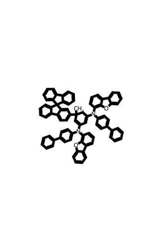 CC1(c2ccc3c(c2)C2(c4ccccc4-c4ccccc42)c2ccccc2-3)C=C(N(c2ccc(-c3ccccc3)cc2)c2cccc3c2oc2ccccc23)C=C(N(c2ccc(-c3ccccc3)cc2)c2cccc3c2oc2ccccc23)C1